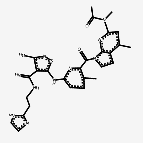 CC(=O)N(C)c1cc(C)c2ccn(C(=O)c3nc(Nc4snc(O)c4C(=N)NCCc4ncc[nH]4)ccc3C)c2n1